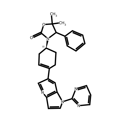 CC1(C)OC(=O)N([C@@H]2CC=C(c3cnc4ccn(-c5ncccn5)c4c3)CC2)C1c1ccccc1